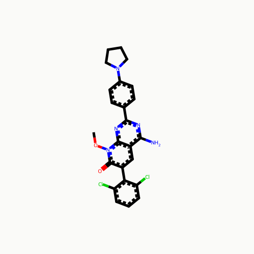 COn1c(=O)c(-c2c(Cl)cccc2Cl)cc2c(N)nc(-c3ccc(N4CCCC4)cc3)nc21